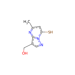 Cc1cc(S)n2ncc(CO)c2n1